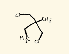 [CH2]C(CC)(CCl)CCl